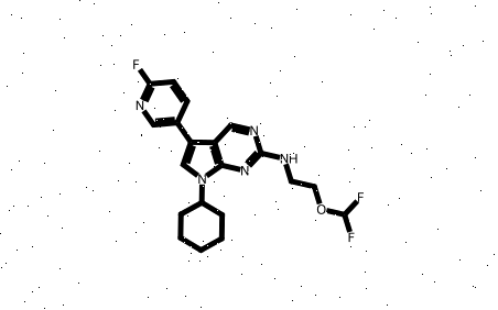 Fc1ccc(-c2cn(C3CCCCC3)c3nc(NCCOC(F)F)ncc23)cn1